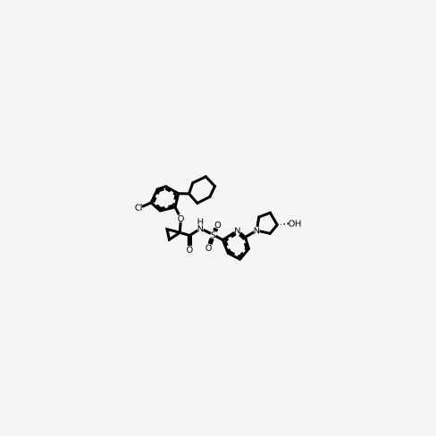 O=C(NS(=O)(=O)c1cccc(N2CC[C@H](O)C2)n1)C1(Oc2cc(Cl)ccc2C2CCCCC2)CC1